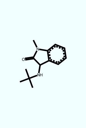 CN1C(=O)C(NC(C)(C)C)c2ccccc21